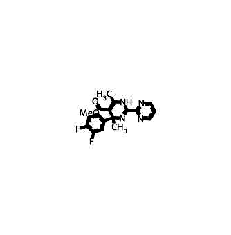 COC(=O)C1=C(C)NC(c2ncccn2)=NC1(C)c1ccc(F)c(F)c1